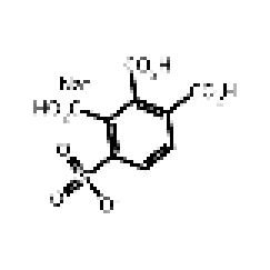 O=C(O)c1ccc(S(=O)(=O)[O-])c(C(=O)O)c1C(=O)O.[Na+]